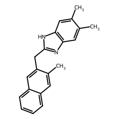 Cc1cc2nc(Cc3cc4ccccc4cc3C)[nH]c2cc1C